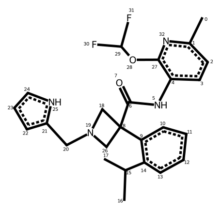 Cc1ccc(NC(=O)C2(c3ccccc3C(C)C)CN(Cc3ccc[nH]3)C2)c(OC(F)F)n1